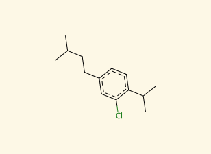 CC(C)CCc1ccc(C(C)C)c(Cl)c1